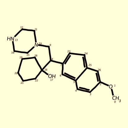 COc1ccc2cc(C(CN3CCNCC3)C3(O)CCCCC3)ccc2c1